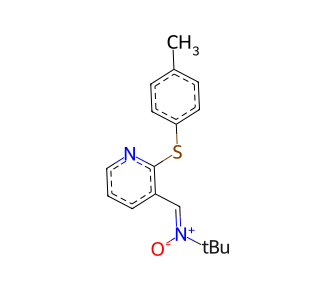 Cc1ccc(Sc2ncccc2/C=[N+](\[O-])C(C)(C)C)cc1